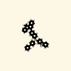 CC1(C)c2ccccc2-c2c(-c3ccc4cc(N(c5ccc(-c6ccccc6)cc5)c5ccc6c(c5)oc5ccccc56)ccc4c3)cc3ccccc3c21